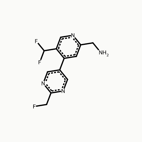 NCc1cc(-c2cnc(CF)nc2)c(C(F)F)cn1